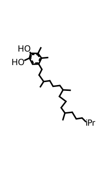 Cc1c(CCC(C)CCCC(C)CCCC(C)CCCC(C)C)cc(O)c(O)c1C